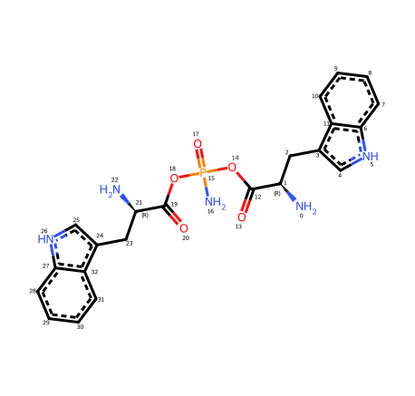 N[C@H](Cc1c[nH]c2ccccc12)C(=O)OP(N)(=O)OC(=O)[C@H](N)Cc1c[nH]c2ccccc12